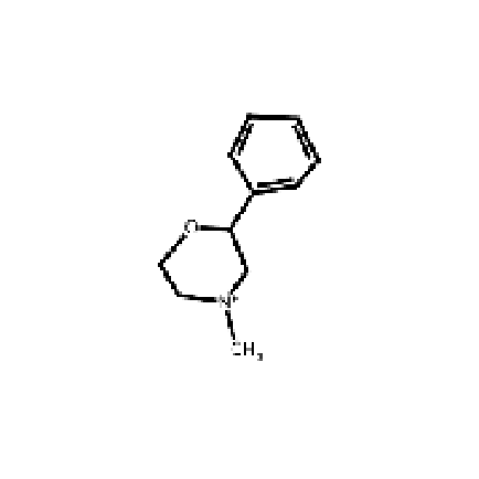 C[N+]1CCOC(c2ccccc2)C1